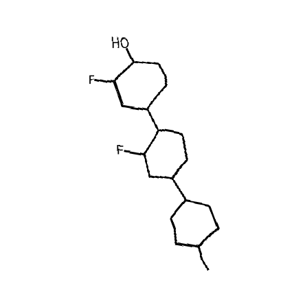 CC1CCC(C2CCC(C3CCC(O)C(F)C3)C(F)C2)CC1